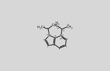 CC(C)n1ccc2ccc[n+](C(C)C)c21